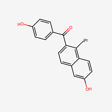 CC(C)c1c(C(=O)c2ccc(O)cc2)ccc2cc(O)ccc12